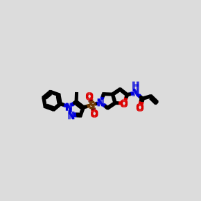 C=CC(=O)NC1CC2CN(S(=O)(=O)c3cnn(-c4ccccc4)c3C)CC2O1